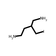 NCCC(CN)CI